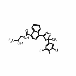 O=C(NCC(O)C(F)(F)F)c1ccc(C2=NOC(c3cc(Cl)c(F)c(Cl)c3)(C(F)(F)F)C2)c2ccccc12